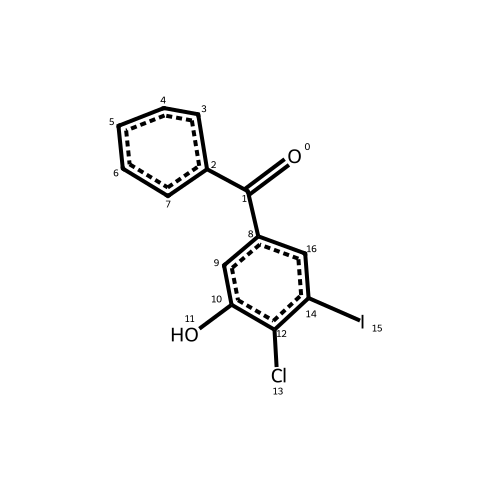 O=C(c1ccccc1)c1cc(O)c(Cl)c(I)c1